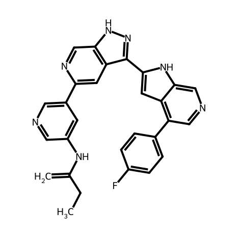 C=C(CC)Nc1cncc(-c2cc3c(-c4cc5c(-c6ccc(F)cc6)cncc5[nH]4)n[nH]c3cn2)c1